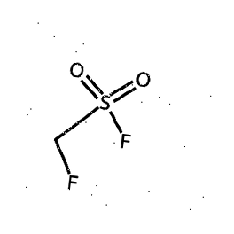 O=S(=O)(F)CF